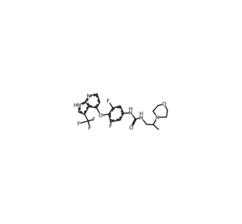 CC(CNC(=O)Nc1cc(F)c(Oc2ccnc3[nH]cc(C(F)(F)F)c23)c(F)c1)N1CCOCC1